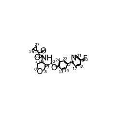 O=S(=O)(N[C@H]1CCOC[C@@H]1COc1ccc(-c2ccc(F)cn2)cc1)C1CC1